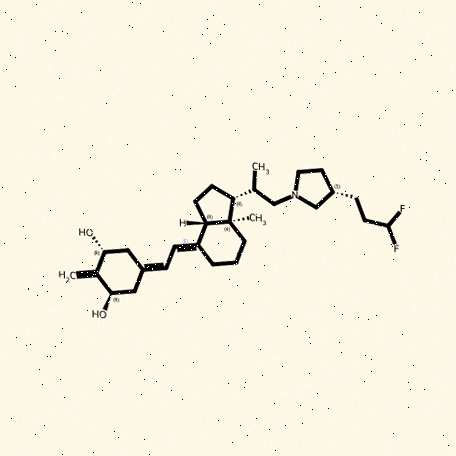 C=C1[C@H](O)CC(=C/C=C2\CCC[C@]3(C)[C@@H](C(C)CN4CC[C@H](CCC(F)F)C4)CC[C@@H]23)C[C@H]1O